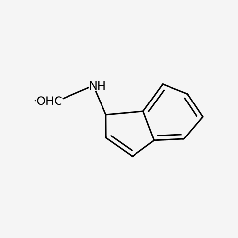 O=[C]NC1C=Cc2ccccc21